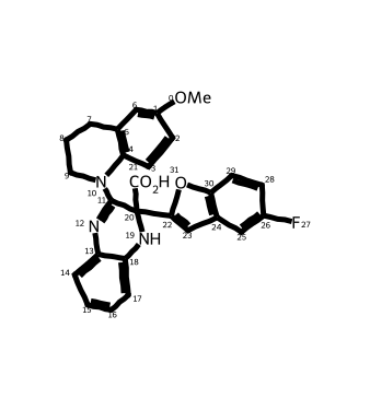 COc1ccc2c(c1)CCCN2C1=Nc2ccccc2NC1(C(=O)O)c1cc2cc(F)ccc2o1